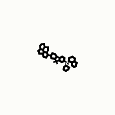 CC1(C)c2cc(-c3ccc4ccc5c6c4c3C=CC6CC=C5)ccc2-c2ccc(N(c3ccccc3)c3cccc4ccccc34)cc21